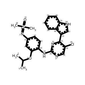 CC(C)Oc1cc(N=S(C)(C)=O)ccc1Nc1ncc(Cl)c(-c2c[nH]c3ccccc23)n1